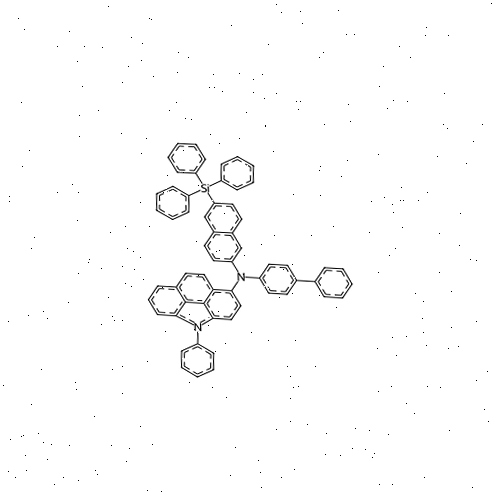 c1ccc(-c2ccc(N(c3ccc4cc([Si](c5ccccc5)(c5ccccc5)c5ccccc5)ccc4c3)c3ccc4c5c3ccc3cccc(c35)n4-c3ccccc3)cc2)cc1